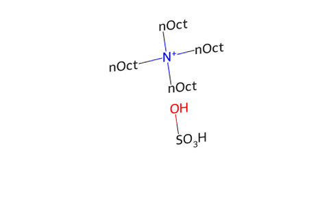 CCCCCCCC[N+](CCCCCCCC)(CCCCCCCC)CCCCCCCC.O=S(=O)(O)O